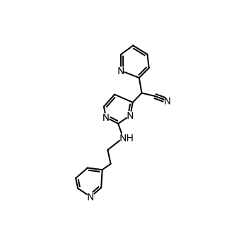 N#CC(c1ccccn1)c1ccnc(NCCc2cccnc2)n1